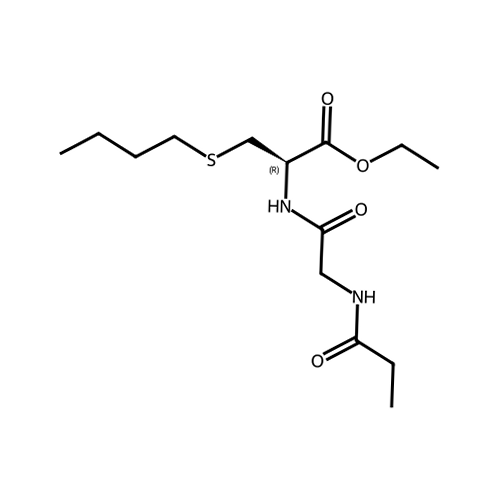 CCCCSC[C@H](NC(=O)CNC(=O)CC)C(=O)OCC